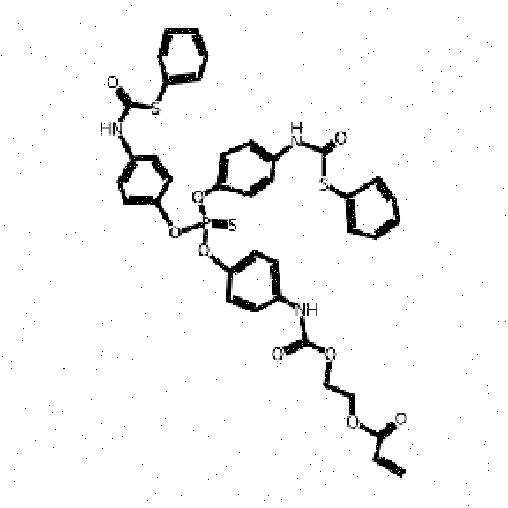 C=CC(=O)OCCOC(=O)Nc1ccc(OP(=S)(Oc2ccc(NC(=O)Sc3ccccc3)cc2)Oc2ccc(NC(=O)Sc3ccccc3)cc2)cc1